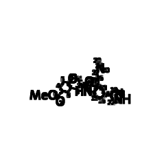 COC(=O)c1ccc2c(c1)CC(C(=O)Nc1ccc(-c3cn[nH]c3)cc1OCCN(C)C)CO2